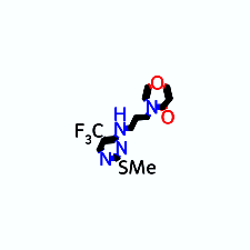 CSc1ncc(C(F)(F)F)c(NCCCN2C=COC=CC2=O)n1